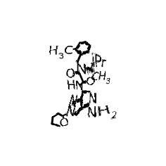 Cc1ccccc1CN(C(=O)C(=O)Nc1cnc(N)c2cn(C3CCCCO3)nc12)[C@H](C)C(C)C